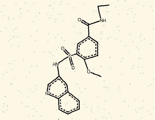 CCNC(=O)c1ccc(OC)c(S(=O)(=O)Nc2cnc3ccccc3c2)c1